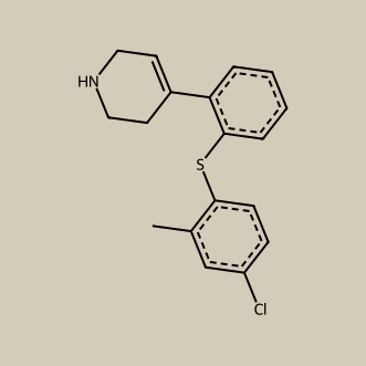 Cc1cc(Cl)ccc1Sc1ccccc1C1=CCNCC1